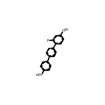 CCCc1ccc(-c2ccc(-c3ccc(CCC)cc3F)cc2)cc1